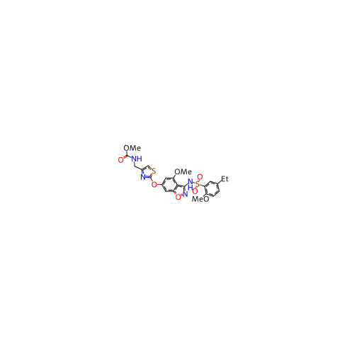 CCc1ccc(OC)c(S(=O)(=O)Nc2noc3cc(Oc4nc(CNC(=O)OC)cs4)cc(OC)c23)c1